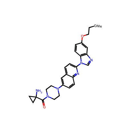 COCCOc1ccc2c(c1)ncn2-c1ccc2cc(N3CCN(C(=O)C4(N)CC4)CC3)ccc2n1